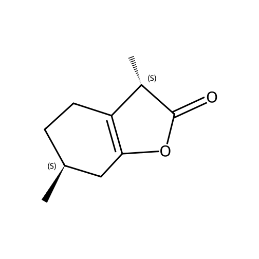 C[C@H]1CCC2=C(C1)OC(=O)[C@H]2C